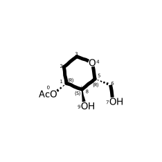 CC(=O)O[C@@H]1CCO[C@H](CO)[C@H]1O